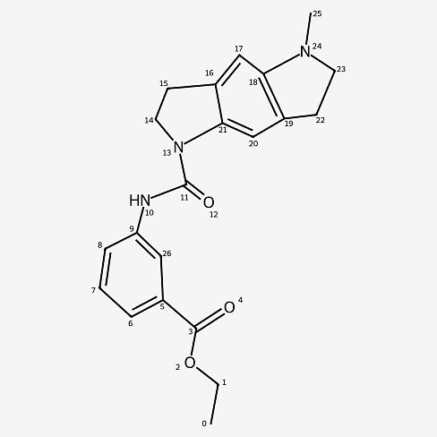 CCOC(=O)c1cccc(NC(=O)N2CCc3cc4c(cc32)CCN4C)c1